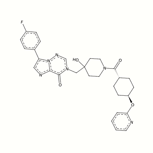 O=c1c2ncc(-c3ccc(F)cc3)n2ncn1CC1(O)CCN(C(=O)[C@H]2CC[C@H](Oc3ccccn3)CC2)CC1